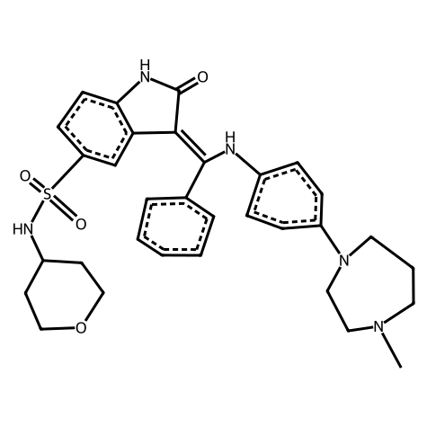 CN1CCCN(c2ccc(N/C(=C3\C(=O)Nc4ccc(S(=O)(=O)NC5CCOCC5)cc43)c3ccccc3)cc2)CC1